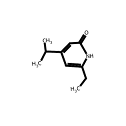 CCc1cc(C(C)C)cc(=O)[nH]1